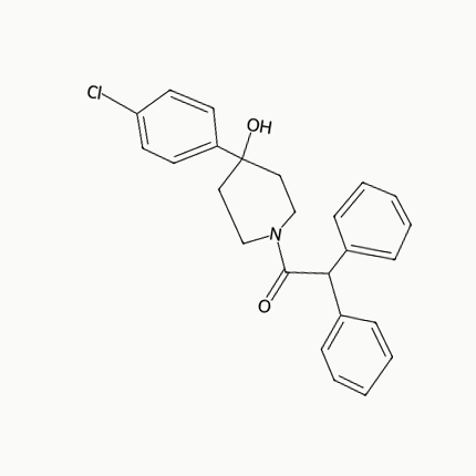 O=C(C(c1ccccc1)c1ccccc1)N1CCC(O)(c2ccc(Cl)cc2)CC1